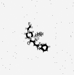 Br.Br.NC(Cc1nc2ccccc2s1)C(=O)N1CCN(CCF)CC1